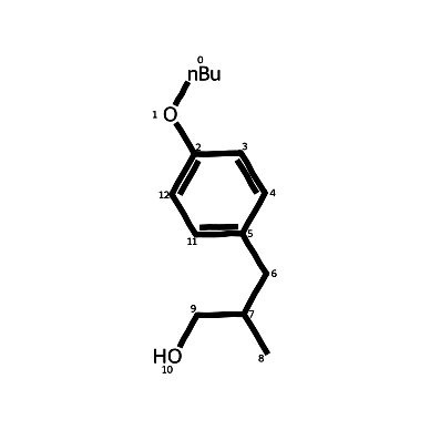 CCCCOc1ccc(CC(C)CO)cc1